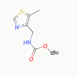 Cc1scnc1CNC(=O)OC(C)(C)C